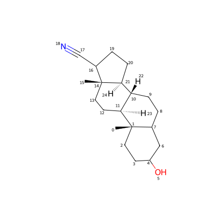 C[C@]12CCC(O)CC1CC[C@@H]1[C@@H]2CC[C@]2(C)C(C#N)CC[C@@H]12